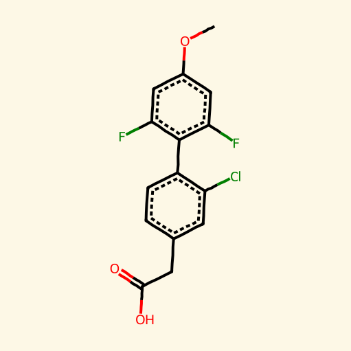 COc1cc(F)c(-c2ccc(CC(=O)O)cc2Cl)c(F)c1